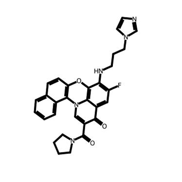 O=C(c1cn2c3c(c(NCCCn4ccnc4)c(F)cc3c1=O)Oc1ccc3ccccc3c1-2)N1CCCC1